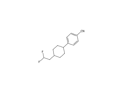 N#Cc1ccc(C2CCC(CC(F)F)CC2)cc1